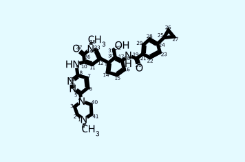 CN1CCN(c2ccc(Nc3cc(-c4cccc(NC(=O)c5ccc(C6CC6)cc5)c4CO)cn(C)c3=O)nn2)CC1